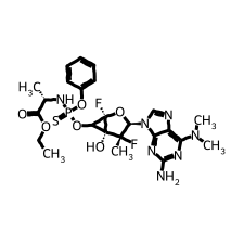 CCOC(=O)[C@H](C)NP(=S)(Oc1ccccc1)OC1[C@]2(O)[C@@](C)(F)[C@H](n3cnc4c(N(C)C)nc(N)nc43)O[C@]12F